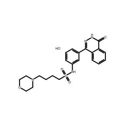 Cl.O=c1[nH]nc(-c2cccc(NS(=O)(=O)CCCCN3CCOCC3)c2)c2ccccc12